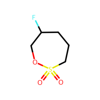 O=S1(=O)CCCC(F)CO1